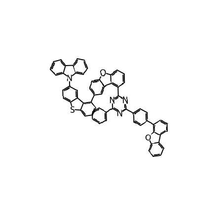 c1ccc(-c2nc(-c3ccc(-c4cccc5c4oc4ccccc45)cc3)nc(-c3cccc4oc5ccc(-c6cccc7sc8ccc(-n9c%10ccccc%10c%10ccccc%109)cc8c67)cc5c34)n2)cc1